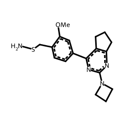 COc1cc(-c2nc(N3CCC3)nc3c2CCC3)ccc1CSN